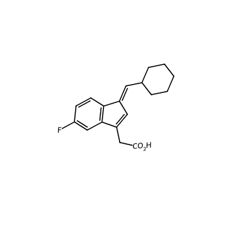 O=C(O)CC1=C/C(=C\C2CCCCC2)c2ccc(F)cc21